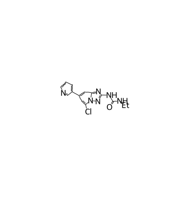 CCNC(=O)Nc1nc2cc(-c3cccnc3)cc(Cl)n2n1